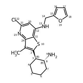 Cc1c([C@@H]2CCCC[C@H]2N)sc2c(NCc3ccco3)cc(Cl)nc12